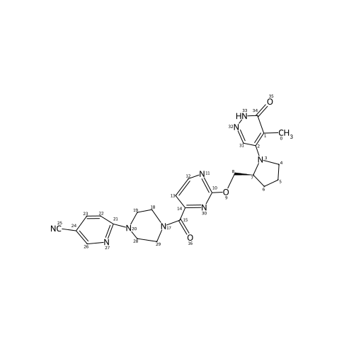 Cc1c(N2CCC[C@H]2COc2nccc(C(=O)N3CCN(c4ccc(C#N)cn4)CC3)n2)cn[nH]c1=O